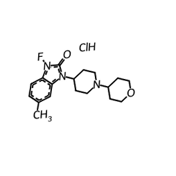 Cc1ccc2c(c1)n(C1CCN(C3CCOCC3)CC1)c(=O)n2F.Cl